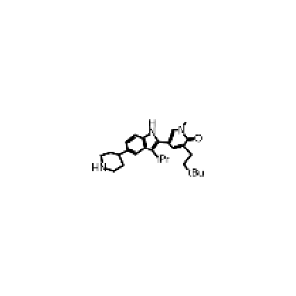 CC(C)c1c(-c2cc(CCC(C)(C)C)c(=O)n(C)c2)[nH]c2ccc(C3CCNCC3)cc12